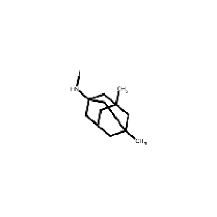 CC12CC3CC(C)(C1)CC(NI)(C3)C2